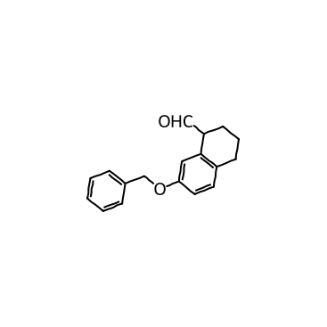 O=CC1CCCc2ccc(OCc3ccccc3)cc21